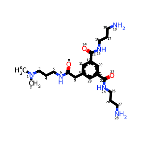 CN(C)CCCNC(=O)Cc1cc(C(=O)NCCCN)cc(C(=O)NCCCN)c1